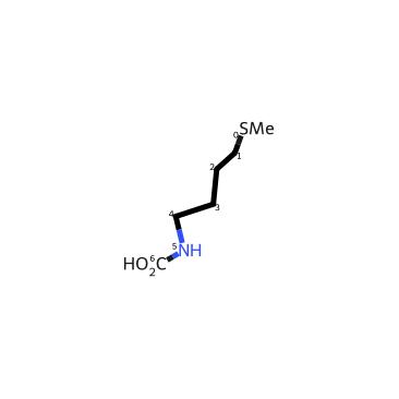 CSCCCCNC(=O)O